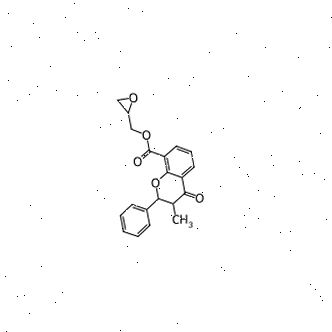 CC1C(=O)c2cccc(C(=O)OCC3CO3)c2OC1c1ccccc1